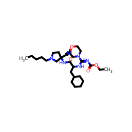 CCCCCN1CCC(C#N)(NC(=O)C(CC2CCCCC2)N/C(=N\C(=O)OCC)N2CCOCC2)C1